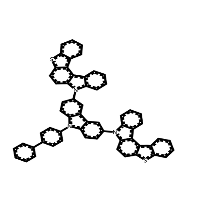 c1ccc(-c2ccc(-n3c4ccc(-n5c6ccccc6c6c7c(ccc65)sc5ccccc57)cc4c4cc(-n5c6ccccc6c6c7c(ccc65)sc5ccccc57)ccc43)cc2)cc1